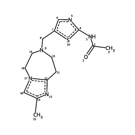 CC(=O)Nc1ncc(CN2CCc3nc(C)cn3CC2)s1